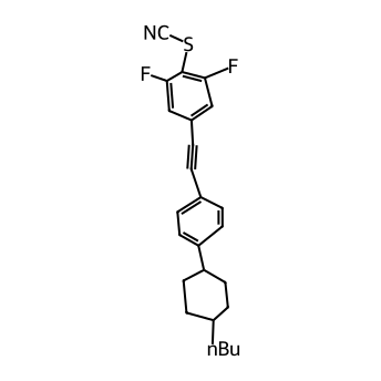 CCCCC1CCC(c2ccc(C#Cc3cc(F)c(SC#N)c(F)c3)cc2)CC1